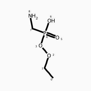 CCOOP(=O)(O)CN